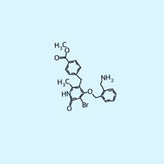 COC(=O)c1ccc(Cc2c(C)[nH]c(=O)c(Br)c2OCc2ccccc2CN)cc1